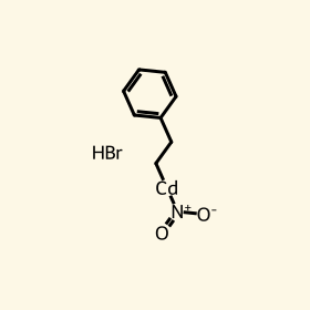 Br.O=[N+]([O-])[Cd][CH2]Cc1ccccc1